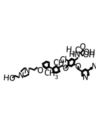 Cc1c(COc2cc(OCc3cncc(C#N)c3)c(CNC(C)(CO)C(=O)O)cc2Cl)cccc1-c1cccc(OCCCN2CCN(CCO)CC2)c1C